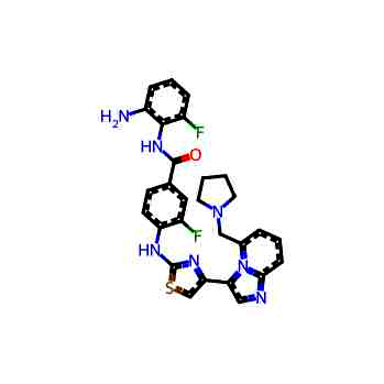 Nc1cccc(F)c1NC(=O)c1ccc(Nc2nc(-c3cnc4cccc(CN5CCCC5)n34)cs2)c(F)c1